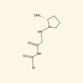 CCC(=O)NC(=O)CNN1CCC[C@H]1C=O